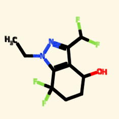 CCn1nc(C(F)F)c2c1C(F)(F)CCC2O